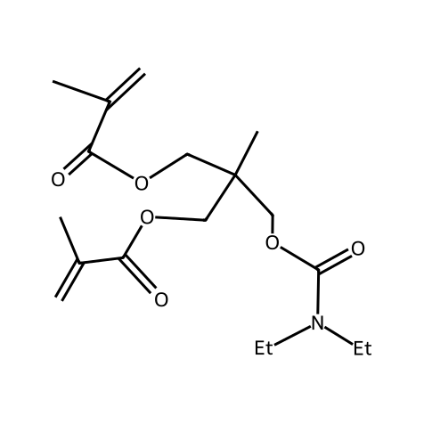 C=C(C)C(=O)OCC(C)(COC(=O)C(=C)C)COC(=O)N(CC)CC